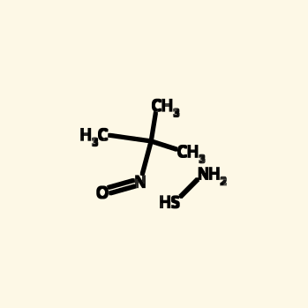 CC(C)(C)N=O.NS